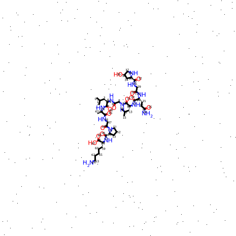 CC(C)C[C@@H](NC(=O)CNC(=O)[C@@H](CC(C)C)NC(=O)[C@@H](CCC(N)=O)NC(=O)CNC(=O)[C@H]1C[C@H](O)CN1)C(=O)N[C@H](C)C(=O)NCC(=O)N1CCC[C@@H]1C(=O)N[C@H](CCCCCN)C(=O)O